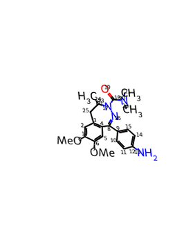 COc1cc2c(cc1OC)C(c1ccc(N)cc1)=NN(C(=O)N(C)C)[C@H](C)C2